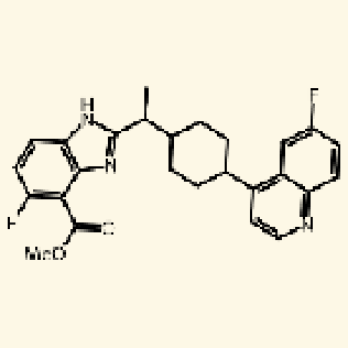 COC(=O)c1c(F)ccc2[nH]c([C@@H](C)C3CCC(c4ccnc5ccc(F)cc45)CC3)nc12